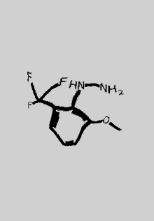 COc1cccc(C(F)(F)F)c1NN